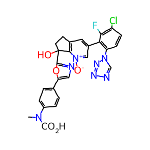 CN(C(=O)O)c1ccc(-c2cnc(C3(O)CCc4cc(-c5c(-n6cnnn6)ccc(Cl)c5F)c[n+]([O-])c43)o2)cc1